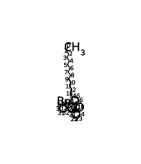 CCCCCCCCCCCCCCc1ccc(Oc2ccccc2)c(Oc2ccccc2)c1Br